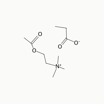 CC(=O)OCC[N+](C)(C)C.CCC(=O)[O-]